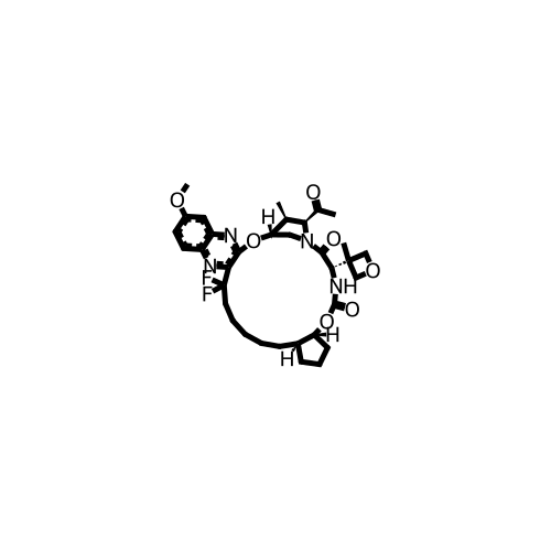 COc1ccc2nc3c(nc2c1)O[C@H]1CN(C(=O)[C@H](C2(C)COC2)NC(=O)O[C@@H]2CCC[C@H]2CCCCCC3(F)F)[C@H](C(C)=O)[C@@H]1C